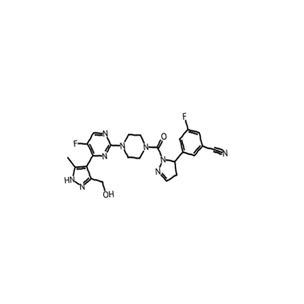 Cc1[nH]nc(CO)c1-c1nc(N2CCN(C(=O)N3N=CCC3c3cc(F)cc(C#N)c3)CC2)ncc1F